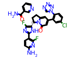 NC(=O)c1cccnc1.Nc1ccc(-c2nc(F)c([C@@H]3CCc4cc(-c5cc(Cl)ccc5-n5cnnn5)cc(=O)n43)[nH]2)c(F)n1